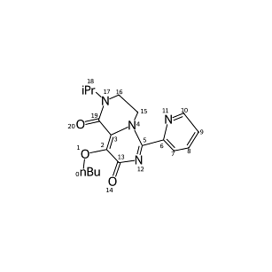 CCCCOc1c2n(c(-c3ccccn3)nc1=O)CCN(C(C)C)C2=O